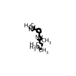 C=C(/C=C\N(C)C)c1cnc(-c2cccc(C(/C=N\C)=C/C)c2)nc1C